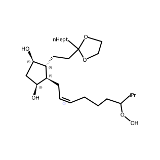 CCCCCCCC1(CC[C@@H]2[C@@H](C/C=C\CCCC(OO)C(C)C)[C@@H](O)C[C@H]2O)OCCO1